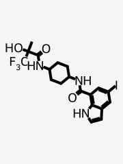 CC(O)(C(=O)NC1CCC(NC(=O)c2cc(I)cc3cc[nH]c23)CC1)C(F)(F)F